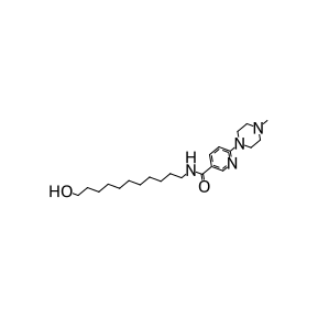 CN1CCN(c2ccc(C(=O)NCCCCCCCCCCCO)cn2)CC1